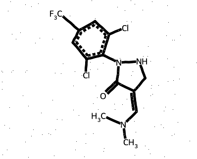 CN(C)C=C1CNN(c2c(Cl)cc(C(F)(F)F)cc2Cl)C1=O